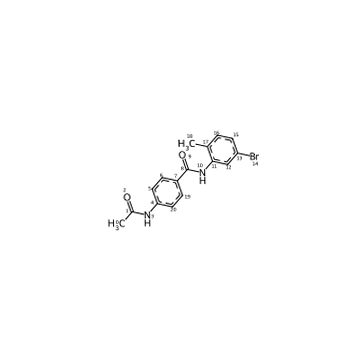 CC(=O)Nc1ccc(C(=O)Nc2cc(Br)ccc2C)cc1